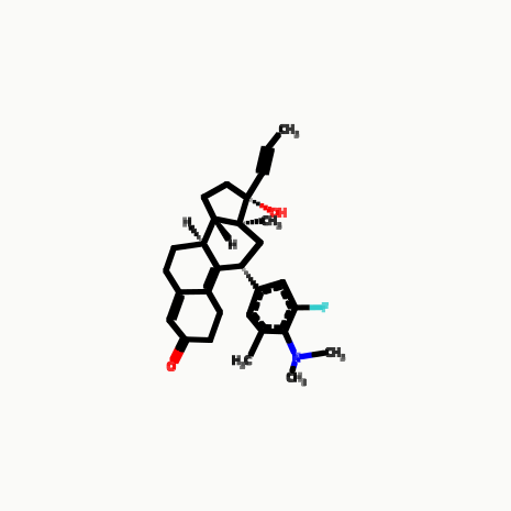 CC#C[C@]1(O)CC[C@H]2[C@@H]3CCC4=CC(=O)CCC4=C3[C@@H](c3cc(C)c(N(C)C)c(F)c3)C[C@@]21C